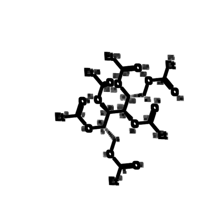 CCC(=O)OC[C@H](OC(=O)CC)[C@@H](OC(=O)CC)[C@H](OC(=O)CC)[C@@H](COC(=O)CC)OC(=O)CC